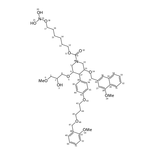 COCC(O)COC1CN(C(=O)OCCCCCCON(O)O)CC(OCc2cc(OC)c3ccccc3c2)C1c1ccc(OCCCOCc2ccccc2OC)cc1